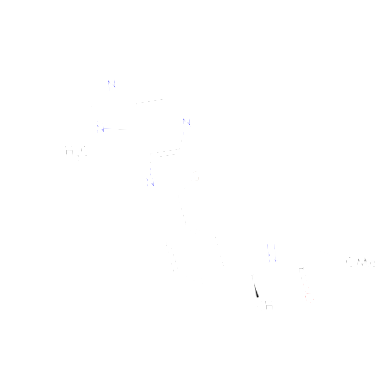 COCC(=O)N[C@@H](C)c1cccc(-c2nc3c(ncc4ncn(C)c43)s2)c1